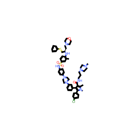 Cc1cc(S(=O)(=O)Nc2ccc(N3CCN(c4cccc(-c5c(C(=O)NCCCN6CCN(C)CC6)c(C)n(C)c5-c5ccc(Cl)cc5)c4)CC3)cc2)ccc1N[C@H](CCN1CCOCC1)CSc1ccccc1